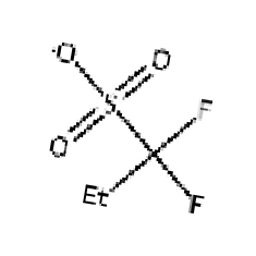 CCC(F)(F)S([O])(=O)=O